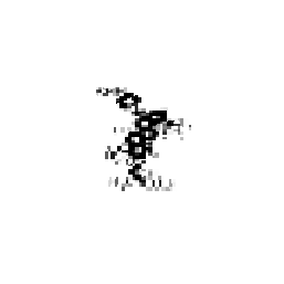 C=C(C)[C@@H]1CC[C@]2(CCN3CCC(NC(C)=O)CC3)CC[C@]3(C)[C@H](CC[C@@H]4[C@@]5(C)CC[C@H](OC(=O)CC(C)(C)CC(=O)O)C(C)(C)[C@@H]5CC[C@]43C)[C@@H]12